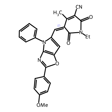 CCN1C(=O)C(C#N)=C(C)/C(=C/c2cc3oc(-c4ccc(OC)cc4)nc3n2-c2ccccc2)C1=O